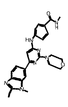 CNC(=O)c1ccc(Nc2cc(-c3ccc4nc(C)n(C)c4c3)nc(N3CCOCC3)n2)cc1